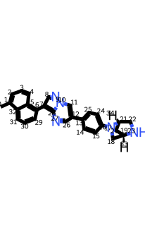 Cc1cccc2c(-c3cnn4cc(-c5ccc(N6C[C@@H]7C[C@H]6CN7)cc5)cnc34)cccc12